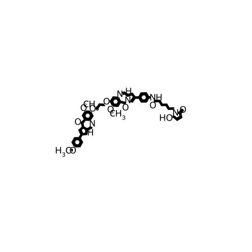 COc1ccc(C2=CC3C(=O)c4cc(OC)c(OCCCOc5cc6c(cc5OC)C(=O)N5C=C(c7ccc(NC(=O)CCCCCN8C(=O)C=CC8O)cc7)C[C@H]5C=N6)cc4N=C[C@@H]3C2)cc1